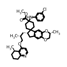 COC(=O)C1(Nc2cccc(Cl)c2)CCC2(CC1)c1cc3c(cc1C[C@@H]2C[C@@H](C)COc1ccnc2c1[C@H](C)CCC2)OC[C@@H](C)O3